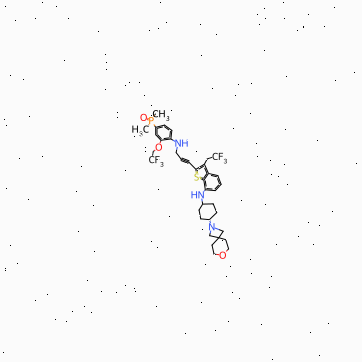 CP(C)(=O)c1ccc(NCC#Cc2sc3c(NC4CCC(N5CC6(CCOCC6)C5)CC4)cccc3c2CC(F)(F)F)c(OCC(F)(F)F)c1